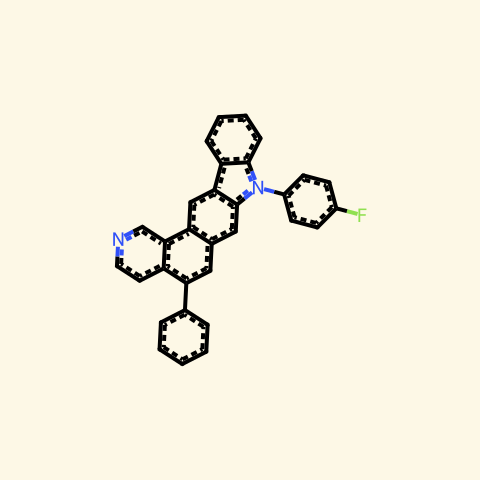 Fc1ccc(-n2c3ccccc3c3cc4c(cc(-c5ccccc5)c5ccncc54)cc32)cc1